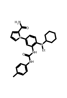 CCN(c1ccc(-n2cccc2C(N)=O)cc1NC(=O)Nc1ccc(C)cc1)C1CCCCC1